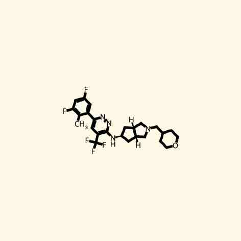 Cc1c(F)cc(F)cc1-c1cc(C(F)(F)F)c(N[C@H]2C[C@@H]3CN(CC4CCOCC4)C[C@@H]3C2)nn1